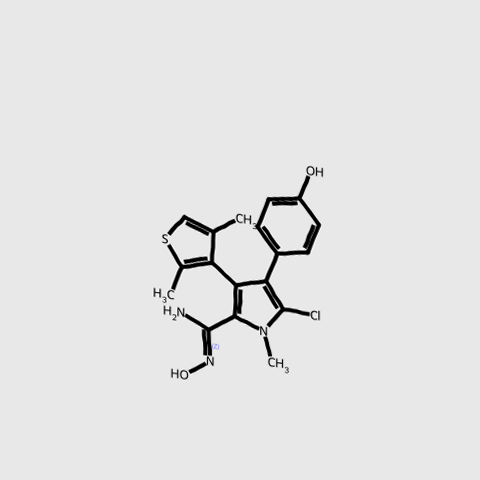 Cc1csc(C)c1-c1c(-c2ccc(O)cc2)c(Cl)n(C)c1/C(N)=N/O